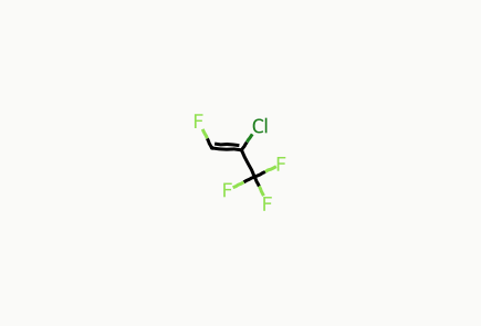 FC=C(Cl)C(F)(F)F